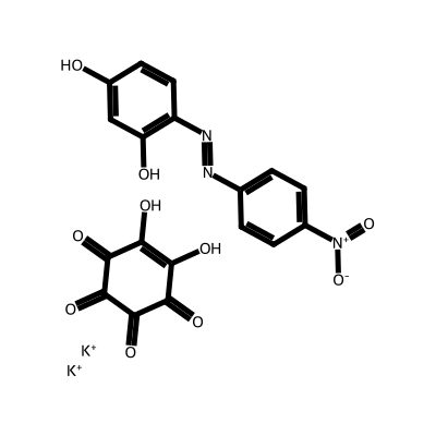 O=[N+]([O-])c1ccc(N=Nc2ccc(O)cc2O)cc1.O=c1c(O)c(O)c(=O)c(=O)c1=O.[K+].[K+]